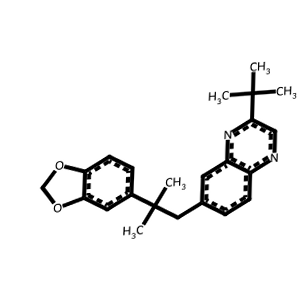 CC(C)(C)c1cnc2ccc(CC(C)(C)c3ccc4c(c3)OCO4)cc2n1